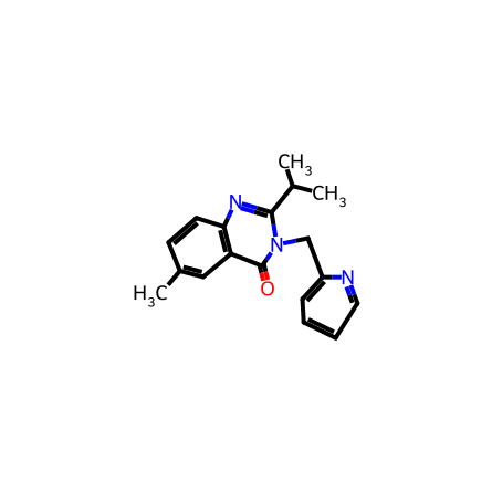 Cc1ccc2nc(C(C)C)n(Cc3ccccn3)c(=O)c2c1